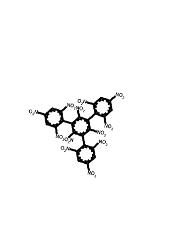 O=[N+]([O-])c1cc([N+](=O)[O-])c(-c2c([N+](=O)[O-])c(-c3c([N+](=O)[O-])cc([N+](=O)[O-])cc3[N+](=O)[O-])c([N+](=O)[O-])c(-c3c([N+](=O)[O-])cc([N+](=O)[O-])cc3[N+](=O)[O-])c2[N+](=O)[O-])c([N+](=O)[O-])c1